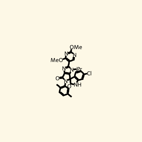 COc1ncc(-c2nc3c(n2C(C)C)C2(C(=O)Nc4cc(Cl)ccc42)N(c2cc(C)ccc2C)C3=O)c(OC)n1